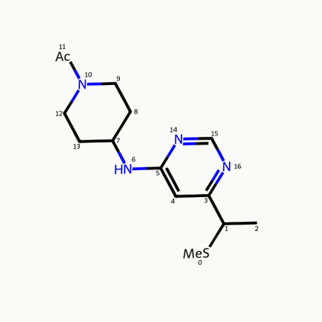 CSC(C)c1cc(NC2CCN(C(C)=O)CC2)ncn1